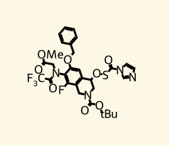 COC(=O)CN(C(=O)C(F)(F)F)c1c(OCc2ccccc2)cc2c(c1F)CN(C(=O)OC(C)(C)C)CC2OSC(=O)n1ccnc1